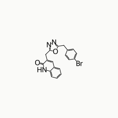 O=c1[nH]c2ccccc2cc1Cc1nnc(Cc2ccc(Br)cc2)o1